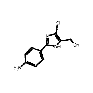 Nc1ccc(-c2nc(Cl)c(CO)[nH]2)cc1